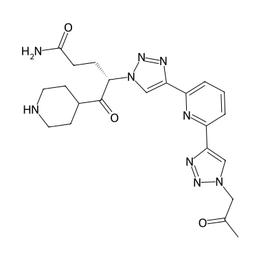 CC(=O)Cn1cc(-c2cccc(-c3cn([C@@H](CCC(N)=O)C(=O)C4CCNCC4)nn3)n2)nn1